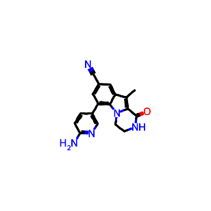 Cc1c2n(c3c(-c4ccc(N)nc4)cc(C#N)cc13)CCNC2=O